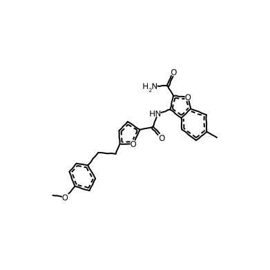 COc1ccc(CCc2ccc(C(=O)Nc3c(C(N)=O)oc4cc(C)ccc34)o2)cc1